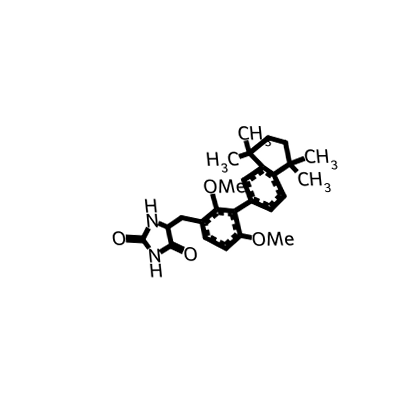 COc1ccc(CC2NC(=O)NC2=O)c(OC)c1-c1ccc2c(c1)C(C)(C)CCC2(C)C